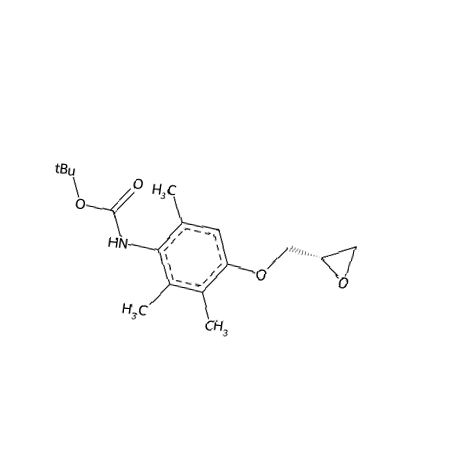 Cc1cc(OC[C@@H]2CO2)c(C)c(C)c1NC(=O)OC(C)(C)C